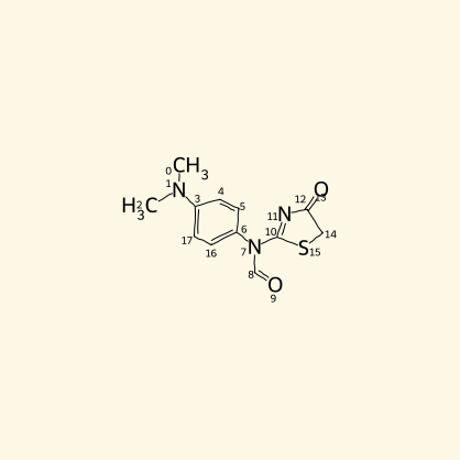 CN(C)c1ccc(N(C=O)C2=NC(=O)CS2)cc1